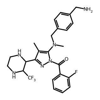 Cc1c(C2NCCNC2C(F)(F)F)nn(C(=O)c2ccccc2F)c1N(C)Cc1ccc(CN)cc1